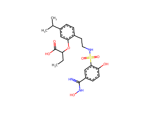 CCC(Oc1cc(C(C)C)ccc1CCNS(=O)(=O)c1cc(C(=N)NO)ccc1O)C(=O)O